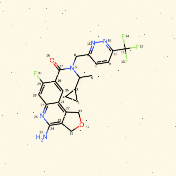 CC(C1CC1)N(Cc1ccc(C(F)(F)F)nn1)C(=O)c1cc2c3c(c(N)nc2cc1F)COC3